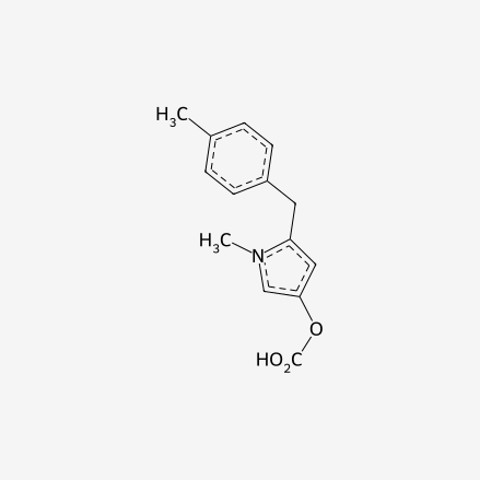 Cc1ccc(Cc2cc(OC(=O)O)cn2C)cc1